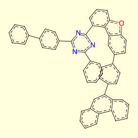 c1ccc(-c2ccc(-c3nc(-c4ccccc4)nc(-c4cccc5oc6ccc(-c7ccc(-c8cc9ccccc9c9ccccc89)cc7)cc6c45)n3)cc2)cc1